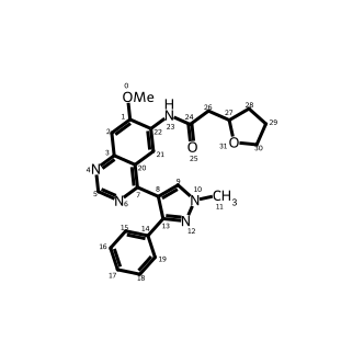 COc1cc2ncnc(-c3cn(C)nc3-c3ccccc3)c2cc1NC(=O)CC1CCCO1